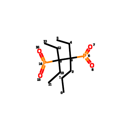 CCCC(CC)(P(=O)=O)C(CC)(CC)P(=O)=O